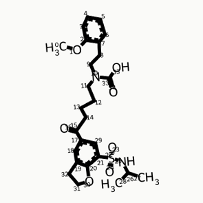 COc1ccccc1CCN(CCCCC(=O)c1cc2c(c(S(=O)(=O)NC(C)C)c1)OCC2)C(=O)O